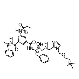 CCS(=O)(=O)Nc1cc(C(=O)N[C@@H](Cc2ccccc2)[C@H](O)CNCc2nccn2COCC[Si](C)(C)C)cc(C(=O)N[C@H](C)c2ccccc2)c1